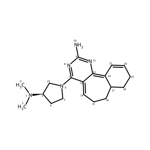 CN(C)[C@@H]1CCN(c2nc(N)nc3c2=CCCC2CCC=CC=32)C1